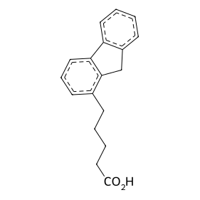 O=C(O)CCCCc1cccc2c1Cc1ccccc1-2